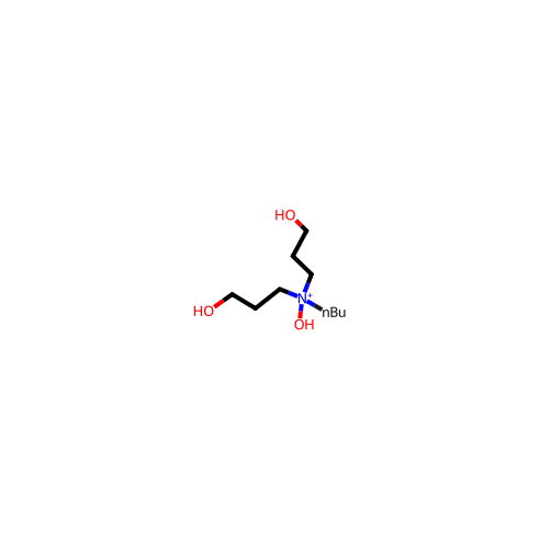 CCCC[N+](O)(CCCO)CCCO